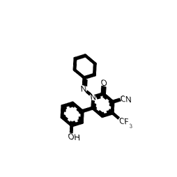 N#Cc1c(C(F)(F)F)cc(-c2cccc(O)c2)n(N=C2CCCCC2)c1=O